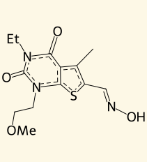 CCn1c(=O)c2c(C)c(C=NO)sc2n(CCOC)c1=O